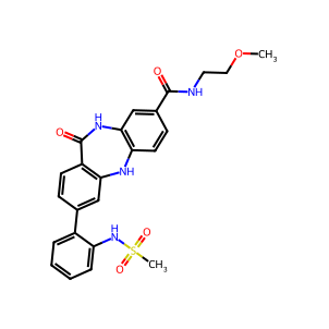 COCCNC(=O)c1ccc2c(c1)NC(=O)c1ccc(-c3ccccc3NS(C)(=O)=O)cc1N2